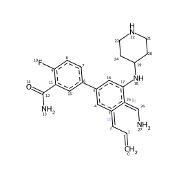 C=C/C=c1/cc(-c2ccc(F)c(C(N)=O)c2)cc(NC2CCNCC2)/c1=C/N